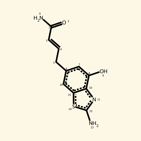 NC(=O)/C=C/Cc1cc(O)c2nc(N)sc2c1